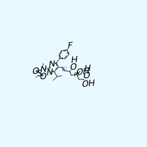 CC(C)c1nc(N(C)S(C)(=O)=O)nc(-c2ccc(F)cc2)c1/C=C/C(O)C[C@@H](O)CC(O)O